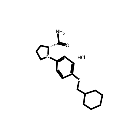 Cl.NC(=O)[C@H]1CCCN1c1ccc(SCC2CCCCC2)cc1